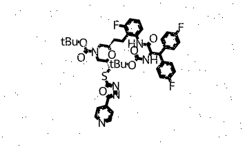 CC(C)(C)OC(=O)NC(C(=O)Nc1cccc(F)c1CC[C@@H]1CN(C(=O)OC(C)(C)C)C[C@@H](CSc2nnc(-c3ccncc3)o2)O1)C(c1ccc(F)cc1)c1ccc(F)cc1